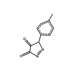 Cc1ccc(C2N=NC(=O)C2=O)cc1